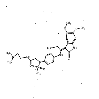 CC/C(Nc1ccc(N(CC(=O)NCCN(C)C)S(C)(=O)=O)cc1)=C1/C(=O)Nc2cc(OC)c(OC)cc21